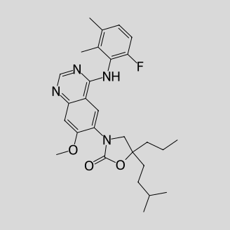 CCCC1(CCC(C)C)CN(c2cc3c(Nc4c(F)ccc(C)c4C)ncnc3cc2OC)C(=O)O1